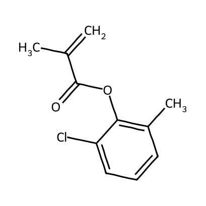 C=C(C)C(=O)Oc1c(C)cccc1Cl